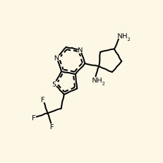 NC1CCC(N)(c2ncnc3sc(CC(F)(F)F)cc23)C1